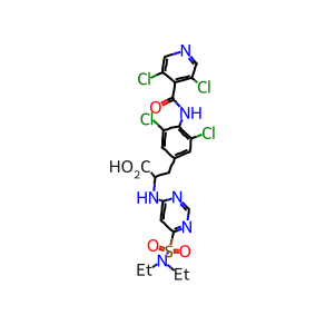 CCN(CC)S(=O)(=O)c1cc(NC(Cc2cc(Cl)c(NC(=O)c3c(Cl)cncc3Cl)c(Cl)c2)C(=O)O)ncn1